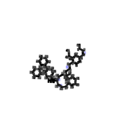 C=C/C=C\c1ccc(/C=C/CC2(C)C/C=C(Nc3ccc(-c4ccccc4)c(-c4ccccc4)c3)\C=C/Cc3ccccc32)c(C=C)c1